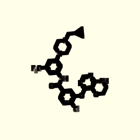 O=C(Nc1cc(N2CCN(CC3CC3)CC2)cc(C(F)(F)F)c1)c1ccc(Cl)c(Oc2ncnc3c2OCCN3)c1